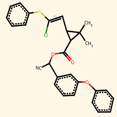 CC1(C)C(/C=C(\Cl)Sc2ccccc2)C1C(=O)OC(C#N)c1cccc(Oc2ccccc2)c1